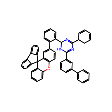 C1=CCC(C2=NC(c3ccccc3-c3ccc4c(c3)C3(c5ccccc5O4)c4ccccc4-c4ccccc43)NC(c3cccc(-c4ccccc4)c3)=N2)C=C1